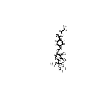 CC(C)(C)n1ncc(OCc2ccc(C(=O)OCCI)cc2)c(Cl)c1=O